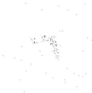 CCCC[N+](CCCC)(CCCC)CCCC.CCCC[N+](CCCC)(CCCC)CCCC.CCCC[N+](CCCC)(CCCC)CCCC.CCCC[N+](CCCC)(CCCC)CCCC.Cc1cc([S-])c([S-])cc1N(C)C.Cc1cc([S-])c([S-])cc1N(C)C.[Ni]